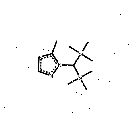 Cc1ccnn1C([Si](C)(C)C)[Si](C)(C)C